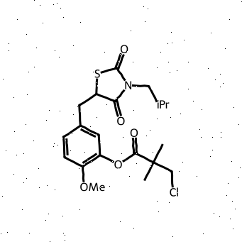 COc1ccc(CC2SC(=O)N(CC(C)C)C2=O)cc1OC(=O)C(C)(C)CCl